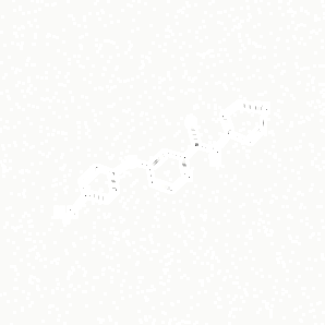 Nc1ccc(Oc2ccnc(C(=O)Nc3ccncc3)c2)cc1